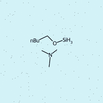 CCCCCO[SiH3].CN(C)C